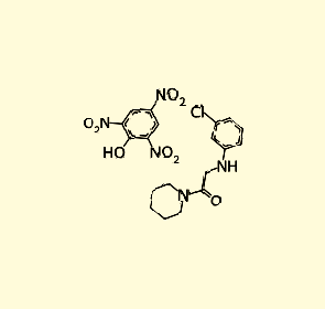 O=C(CNc1cccc(Cl)c1)N1CCCCC1.O=[N+]([O-])c1cc([N+](=O)[O-])c(O)c([N+](=O)[O-])c1